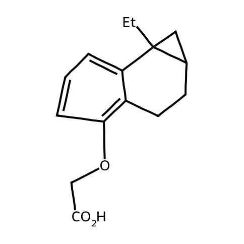 [CH2]CC12CC1CCc1c(OCC(=O)O)cccc12